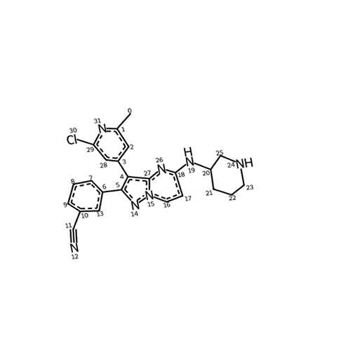 Cc1cc(-c2c(-c3cccc(C#N)c3)nn3ccc(NC4CCCNC4)nc23)cc(Cl)n1